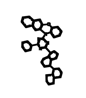 c1ccc(-c2nc(-c3cccc4c(-c5cccc6ccccc56)cccc34)nc(N3c4ccccc4Oc4cc5ccccc5cc43)n2)cc1